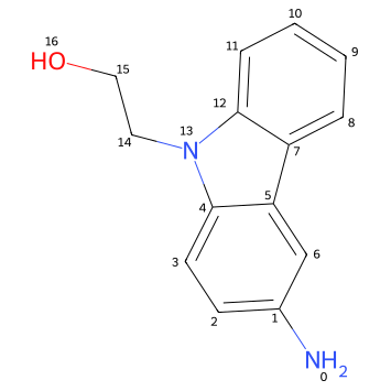 Nc1ccc2c(c1)c1ccccc1n2CCO